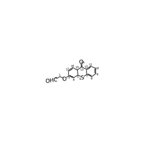 O=CCOC1=CC2Sc3ccccc3C(=O)C2C=C1